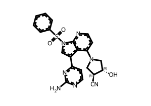 N#C[C@H]1CN(c2ccnc3c2c(-c2ccnc(N)n2)cn3S(=O)(=O)c2ccccc2)C[C@@H]1O